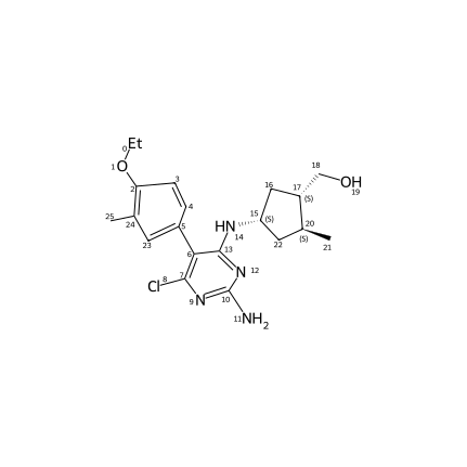 CCOc1ccc(-c2c(Cl)nc(N)nc2N[C@@H]2C[C@H](CO)[C@@H](C)C2)cc1C